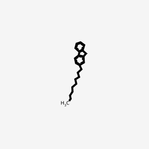 CCCCCCCCCCc1ccc2c(c1)[CH]c1ccccc1-2